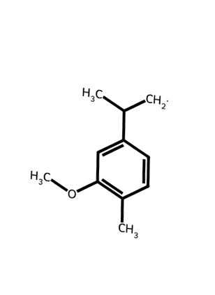 [CH2]C(C)c1ccc(C)c(OC)c1